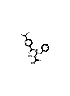 O=C(N[C@H](Cc1ccccc1)[C@@H](O)C(=O)O)c1ccc(C(=O)O)nc1